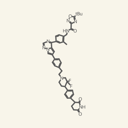 Cc1cc(-c2ncnn3cc(-c4ccc(CCN5CCC(c6ccc(C7CCC(=O)NC7=O)cc6)C(F)(F)C5)cc4)cc23)ccc1CNC(=O)c1noc(C(C)(C)C)n1